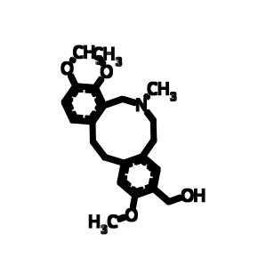 COc1cc2c(cc1CO)CCN(C)Cc1c(ccc(OC)c1OC)CC2